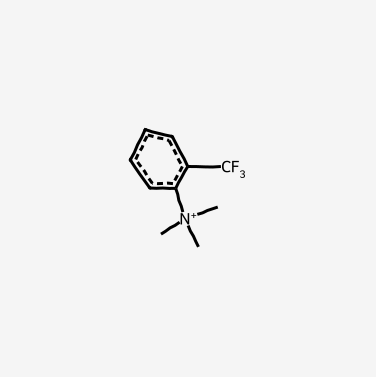 C[N+](C)(C)c1ccccc1C(F)(F)F